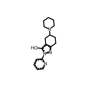 Oc1c2c(nn1-c1ccccn1)CCC(N1CCCCC1)C2